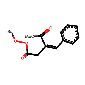 COC(=O)C(=Cc1ccccc1)CC(=O)OOC(C)(C)C